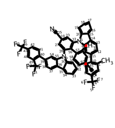 Cc1cc(C(F)(F)F)ccc1-c1ccc2c3ccccc3n(-c3cc(C#N)cc(-n4c5ccccc5c5ccc(-c6ccc(C(F)(F)F)cc6C(F)(F)F)cc54)c3-c3ccc(C#N)cc3C)c2c1